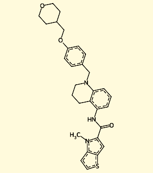 Cn1c(C(=O)Nc2cccc3c2CCCN3Cc2ccc(OCC3CCOCC3)cc2)cc2sccc21